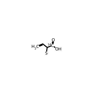 C=CC([S])[14C](=O)O